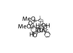 CO[C@H]1C(=O)[C@]2(C)[C@@H](OC)C[C@H]3OC[C@@]3(OC(C)=O)[C@H]2[C@H](OC(=O)c2ccccc2)[C@]2(O)CCC(C)=C1C2(C)C